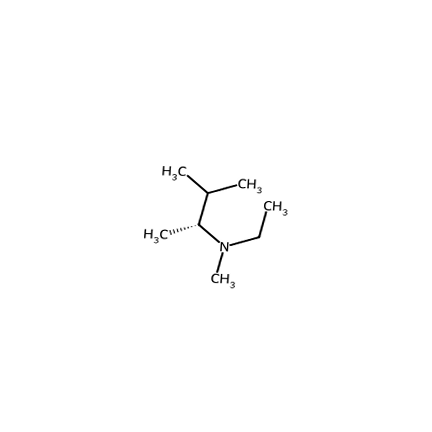 CCN(C)[C@H](C)C(C)C